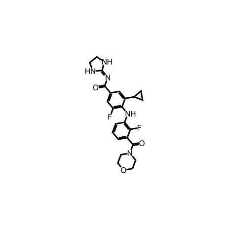 O=C(N=C1NCCN1)c1cc(F)c(Nc2cccc(C(=O)N3CCOCC3)c2F)c(C2CC2)c1